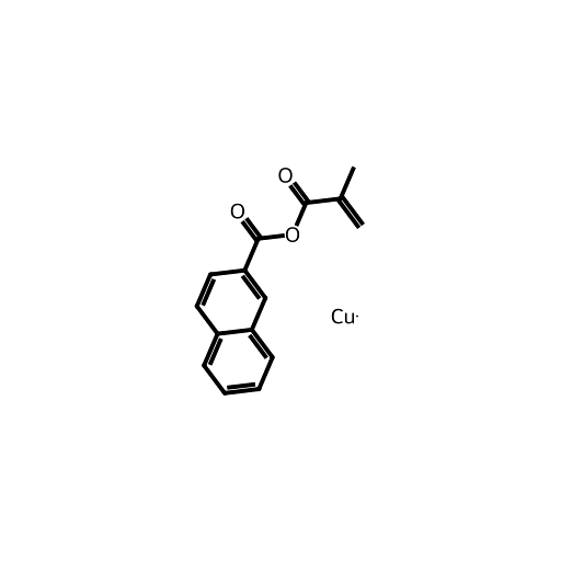 C=C(C)C(=O)OC(=O)c1ccc2ccccc2c1.[Cu]